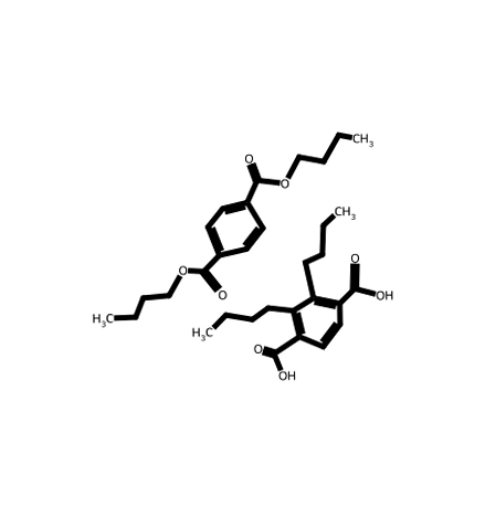 CCCCOC(=O)c1ccc(C(=O)OCCCC)cc1.CCCCc1c(C(=O)O)ccc(C(=O)O)c1CCCC